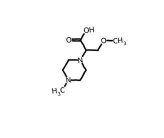 COCC(C(=O)O)N1CCN(C)CC1